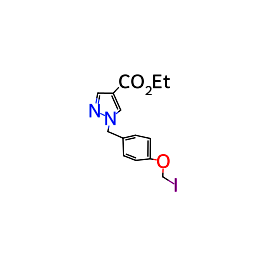 CCOC(=O)c1cnn(Cc2ccc(OCI)cc2)c1